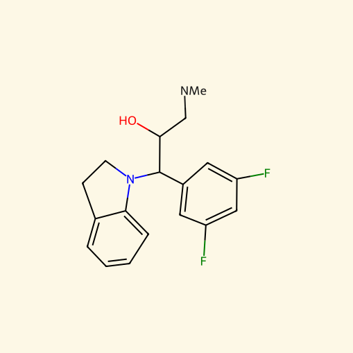 CNCC(O)C(c1cc(F)cc(F)c1)N1CCc2ccccc21